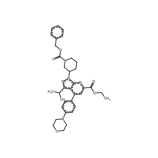 CCOC(=O)c1cc(-c2ccc(N3CCOCC3)cc2)c2c(C(C)C)nn(C3CCCN(C(=O)OCc4ccccc4)C3)c2n1